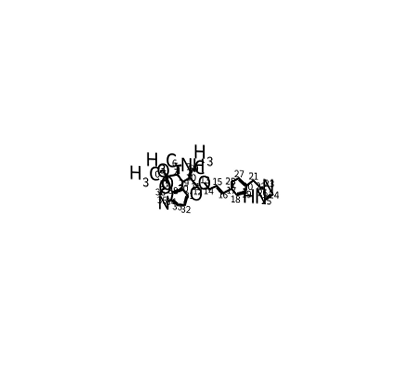 COC(=O)C1=C(C)NC(C)=C(C(=O)OCC=Cc2ccc(Cc3ncc[nH]3)cc2)C1c1cccc2ncoc12